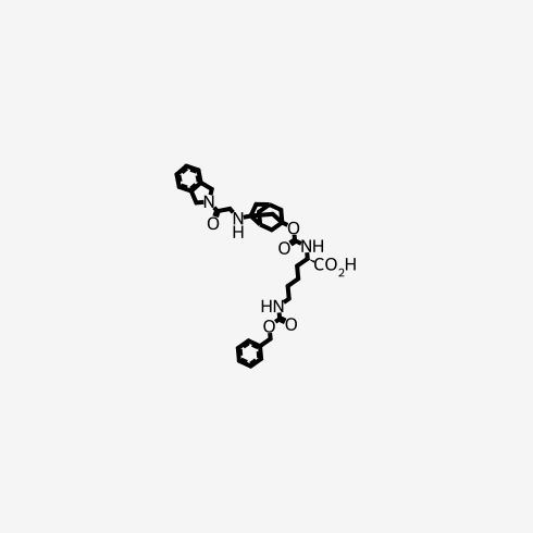 O=C(NCCCC[C@H](NC(=O)OC12CC3CC(C1)C(NCC(=O)N1Cc4ccccc4C1)(C3)C2)C(=O)O)OCc1ccccc1